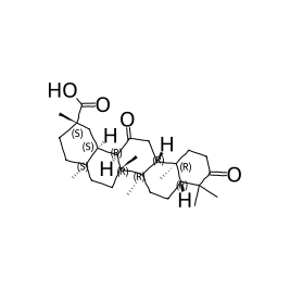 CC1(C)C(=O)CC[C@]2(C)[C@H]3CC(=O)[C@@H]4[C@@H]5C[C@@](C)(C(=O)O)CC[C@]5(C)CC[C@@]4(C)[C@]3(C)CC[C@@H]12